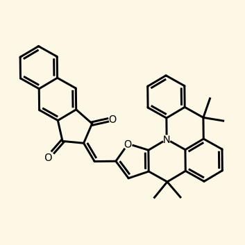 CC1(C)c2ccccc2N2c3oc(C=C4C(=O)c5cc6ccccc6cc5C4=O)cc3C(C)(C)c3cccc1c32